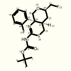 CC(C)(C)OC(=O)NC1=N[C@@]2(c3ccccc3F)CO[C@@H](CF)C[C@H]2CS1